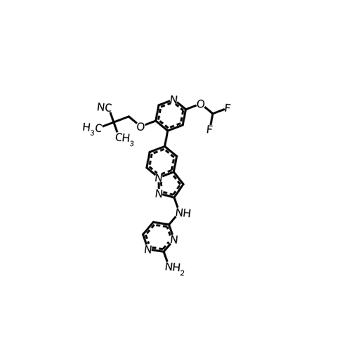 CC(C)(C#N)COc1cnc(OC(F)F)cc1-c1ccn2nc(Nc3ccnc(N)n3)cc2c1